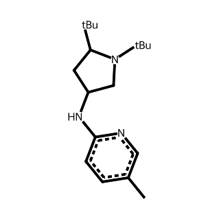 Cc1ccc(NC2CC(C(C)(C)C)N(C(C)(C)C)C2)nc1